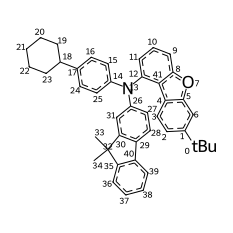 CC(C)(C)c1ccc2c(c1)oc1cccc(N(c3ccc(C4CCCCC4)cc3)c3ccc4c(c3)C(C)(C)c3ccccc3-4)c12